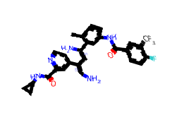 Cc1ccc(NC(=O)c2ccc(F)c(C(F)(F)F)c2)cc1/C(N)=C/C(=C\N)c1ccnc(C(=O)NC2CC2)c1